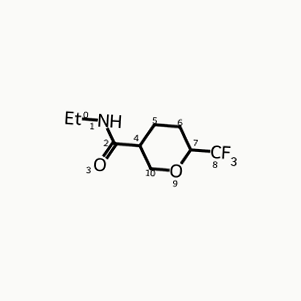 CCNC(=O)C1CCC(C(F)(F)F)OC1